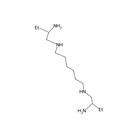 CCC(N)CNCCCCCCNCC(N)CC